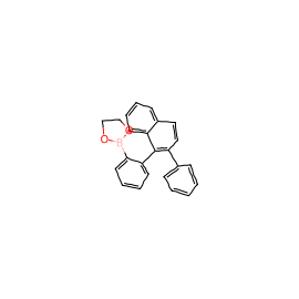 c1ccc(-c2ccc3ccccc3c2-c2ccccc2B2OCCO2)cc1